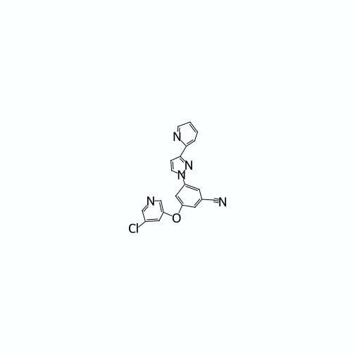 N#Cc1cc(Oc2cncc(Cl)c2)cc(-n2ccc(-c3ccccn3)n2)c1